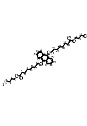 CCCCOC(=O)CCCCCCCOc1c2ccccc2c(OCCCCCCCC(=O)OCCCC)c2ccccc12